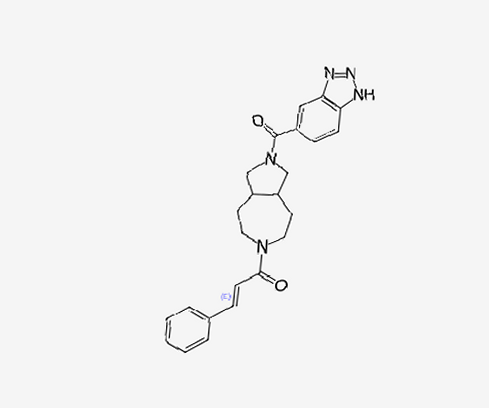 O=C(/C=C/c1ccccc1)N1CCC2CN(C(=O)c3ccc4[nH]nnc4c3)CC2CC1